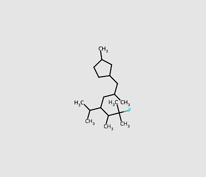 CC1CCC(CC(C)CC(C(C)C)C(C)C(C)(C)F)C1